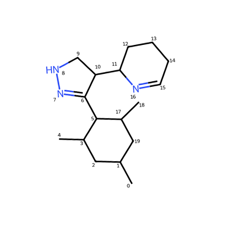 CC1CC(C)C(C2=NNCC2C2CCCC=N2)C(C)C1